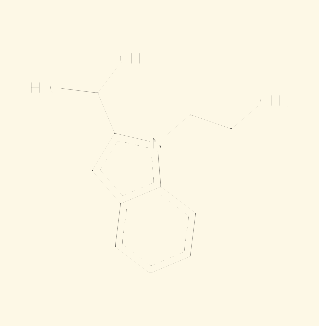 CCCn1c(C(C)C)cc2ccccc21